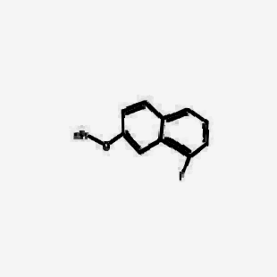 CCCOc1ccc2cccc(F)c2c1